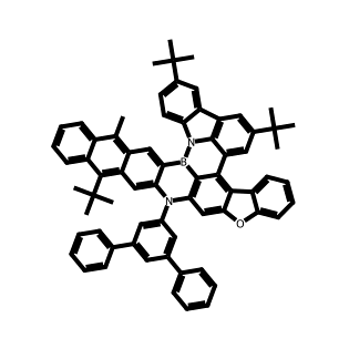 Cc1c2ccccc2c(C(C)(C)C)c2cc3c(cc12)B1c2c(cc4oc5ccccc5c4c2-c2cc(C(C)(C)C)cc4c5cc(C(C)(C)C)ccc5n1c24)N3c1cc(-c2ccccc2)cc(-c2ccccc2)c1